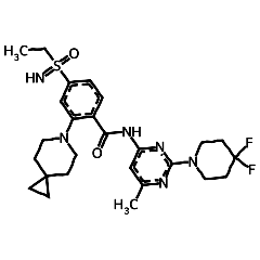 CCS(=N)(=O)c1ccc(C(=O)Nc2cc(C)nc(N3CCC(F)(F)CC3)n2)c(N2CCC3(CC2)CC3)c1